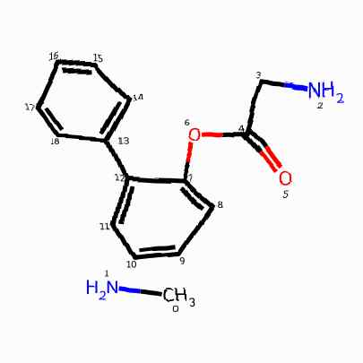 CN.NCC(=O)Oc1ccccc1-c1ccccc1